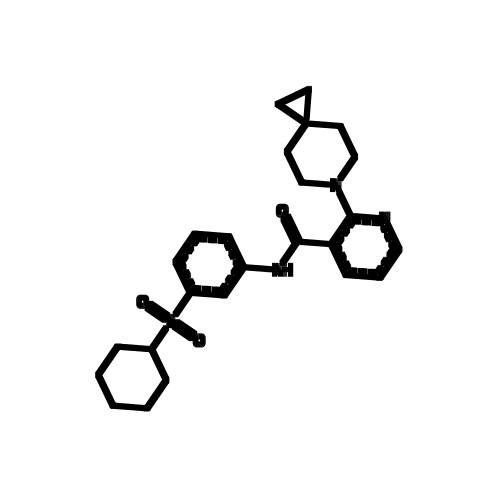 O=C(Nc1cccc(S(=O)(=O)C2CCCCC2)c1)c1cccnc1N1CCC2(CC1)CC2